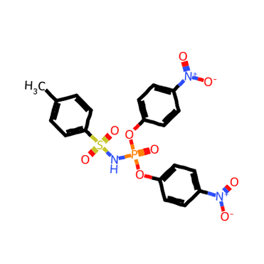 Cc1ccc(S(=O)(=O)NP(=O)(Oc2ccc([N+](=O)[O-])cc2)Oc2ccc([N+](=O)[O-])cc2)cc1